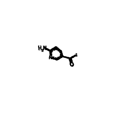 Nc1ccc(C(=O)I)cn1